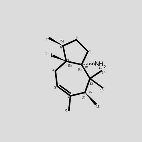 CC1=CC[C@]2(I)[C@@H](C)CC[C@@]2(N)C(C)(C)[C@H]1C